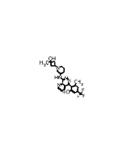 Cc1cc(C(F)(F)F)cc(O)c1-c1nnc(NC2CCCN(C3CC(C)(O)C3)C2)c2ncccc12